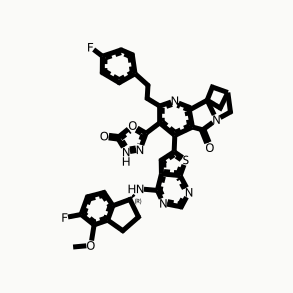 COc1c(F)ccc2c1CC[C@H]2Nc1ncnc2sc(-c3c4c(nc(CCc5ccc(F)cc5)c3-c3n[nH]c(=O)o3)C35CC(CN3C4=O)C5)cc12